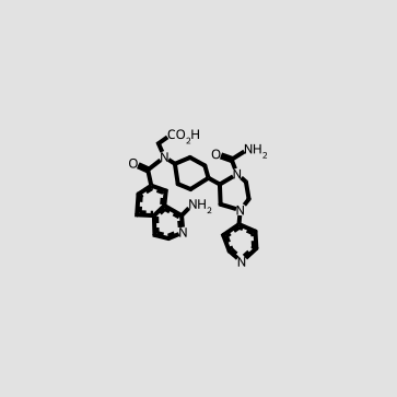 NC(=O)N1CCN(c2ccncc2)CC1C1CCC(N(CC(=O)O)C(=O)c2ccc3ccnc(N)c3c2)CC1